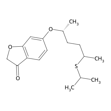 CC(C)SC(C)CC[C@@H](C)Oc1ccc2c(c1)OCC2=O